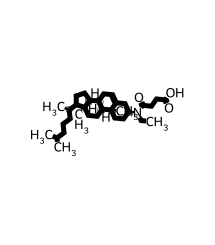 CCN(C(=O)CCC(=O)O)[C@H]1CC[C@@]2(C)C(=CC[C@@H]3[C@@H]2CC[C@]2(C)C([C@H](C)CCCC(C)C)CC[C@@H]32)C1